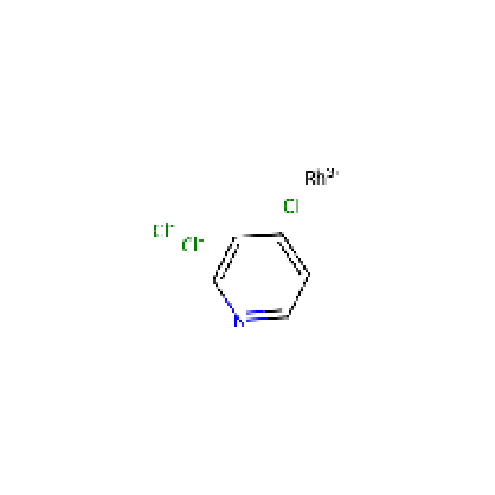 [Cl-].[Cl-].[Cl-].[Rh+3].c1ccncc1